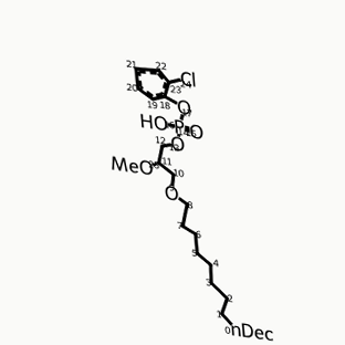 CCCCCCCCCCCCCCCCCCOC[C@H](COP(=O)(O)Oc1ccccc1Cl)OC